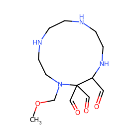 COCN1CCNCCNCCNC(C=O)C1(C=O)C=O